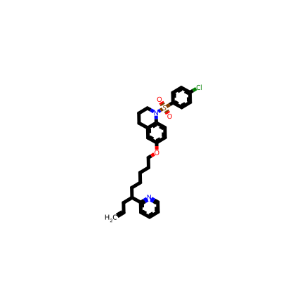 C=CCC(CCCCCOc1ccc2c(c1)CCCN2S(=O)(=O)c1ccc(Cl)cc1)c1ccccn1